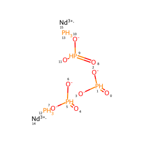 O=[PH]([O-])[O-].O=[PH]([O-])[O-].O=[PH]([O-])[O-].P.P.[Nd+3].[Nd+3]